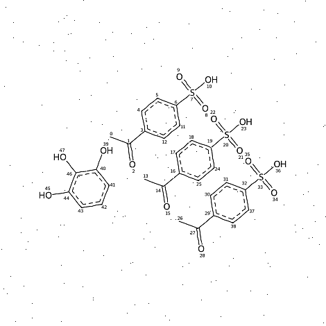 CC(=O)c1ccc(S(=O)(=O)O)cc1.CC(=O)c1ccc(S(=O)(=O)O)cc1.CC(=O)c1ccc(S(=O)(=O)O)cc1.Oc1cccc(O)c1O